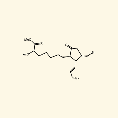 CCCCCCC=C[C@H]1[C@H](CBr)CC(=O)[C@@H]1CCCCCC(OC(C)=O)C(=O)OC